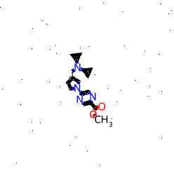 COC(=O)c1cnc(N2CC[C@H](CN(C3CC3)C3CC3)C2)cn1